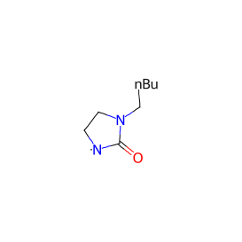 CCCCCN1CC[N]C1=O